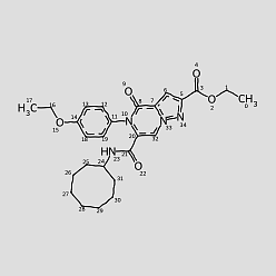 CCOC(=O)c1cc2c(=O)n(-c3ccc(OCC)cc3)c(C(=O)NC3CCCCCCC3)cn2n1